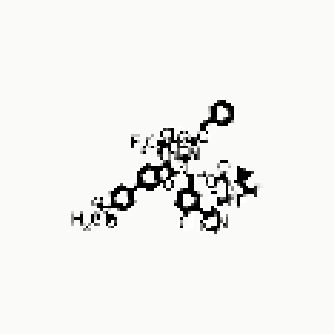 CC(C)(C[C@]1(c2ccc(-c3ccc(S(C)(=O)=O)cc3)cc2)NC(=NC(=O)OCc2ccccc2)N([C@H](COC(=O)NC2(C(F)F)CC2)c2ccc(Cl)c(-c3ncnn3C(F)F)c2)C1=O)C(F)(F)F